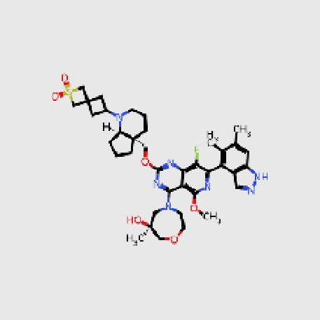 COc1nc(-c2c(C)c(C)cc3[nH]ncc23)c(F)c2nc(OC[C@]34CCC[C@H]3N(C3CC5(C3)CS(=O)(=O)C5)CCC4)nc(N3CCOC[C@@](C)(O)C3)c12